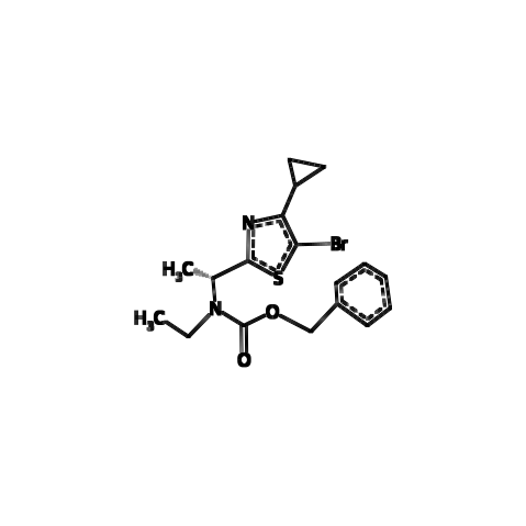 CCN(C(=O)OCc1ccccc1)[C@H](C)c1nc(C2CC2)c(Br)s1